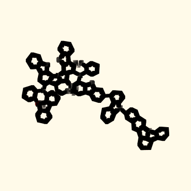 C=c1c2c(N(c3ccccc3C)c3cccc4c3oc3cc(-c5cccc6c5c5ccccc5n6-c5ccc6cc7c(cc6c5)c5cccc6c8ccccc8n7c65)ccc34)cc3c4ccccc4oc3c2n2c1c(/C=C\C)c1c(N(c3ccccc3C)c3cccc4c3oc3ccccc34)cc3c4ccccc4oc3c12